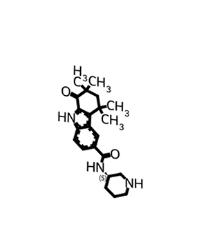 CC1(C)CC(C)(C)c2c([nH]c3ccc(C(=O)N[C@H]4CCCNC4)cc23)C1=O